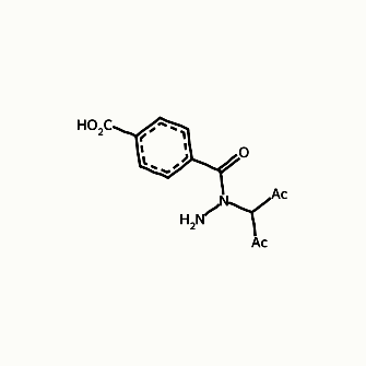 CC(=O)C(C(C)=O)N(N)C(=O)c1ccc(C(=O)O)cc1